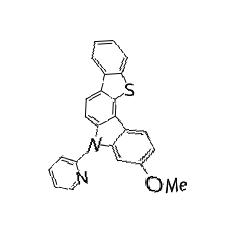 COc1ccc2c3c4sc5ccccc5c4ccc3n(-c3ccccn3)c2c1